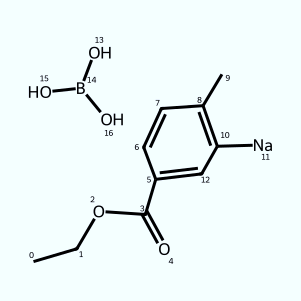 CCOC(=O)c1ccc(C)[c]([Na])c1.OB(O)O